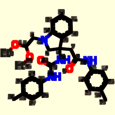 CCOC(CN1CC(CC(=O)Nc2ccc(C)cc2)(NC(=O)Nc2ccc(C)cc2)c2ccccc21)OCC